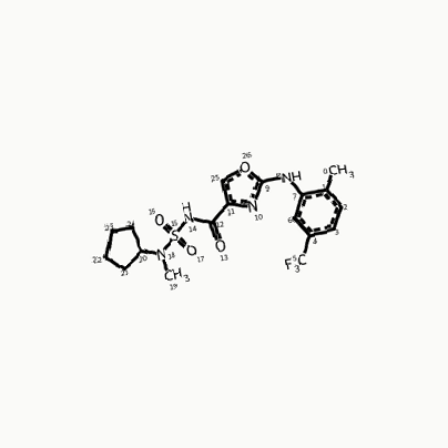 Cc1ccc(C(F)(F)F)cc1Nc1nc(C(=O)NS(=O)(=O)N(C)C2CCCC2)co1